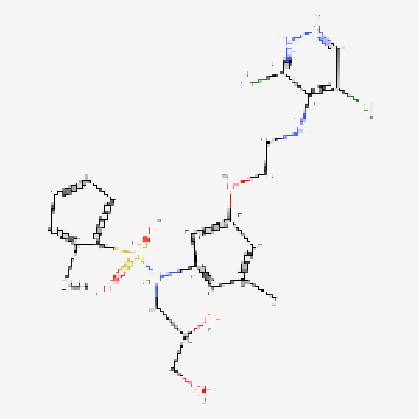 COc1ccccc1S(=O)(=O)N(CC(O)CO)c1cc(C)cc(OCCNc2c(Cl)cnnc2Cl)c1